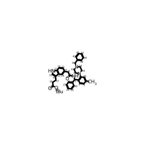 Cc1ccc(C(NC(=O)Cc2ccc3[nH]cc(CCC(=O)OC(C)(C)C)c3c2)c2ccccc2)c(N2CCN(Cc3ccccc3)CC2)c1